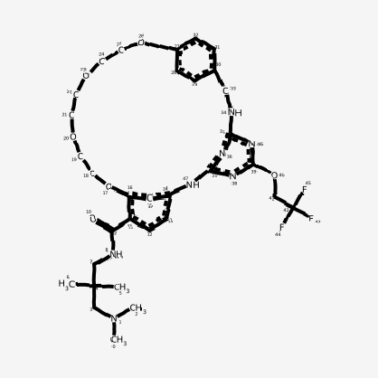 CN(C)CC(C)(C)CNC(=O)c1ccc2cc1OCCOCCOCCOc1ccc(cc1)CNc1nc(nc(OCC(F)(F)F)n1)N2